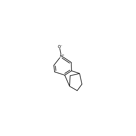 [O-][n+]1ccc2c(c1)C1CCC2C1